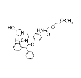 COCCOCC(=O)Nc1cccc(C(CN2CC[C@H](O)C2)N(C)C(=O)C(c2ccccc2)c2ccccc2)c1